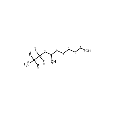 OCCCCCC(O)CC(F)(F)C(F)(F)C(F)(F)F